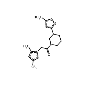 Cc1cc(C(F)(F)F)nn1CC(=O)N1CCCC(c2nc(C(=O)O)cs2)C1